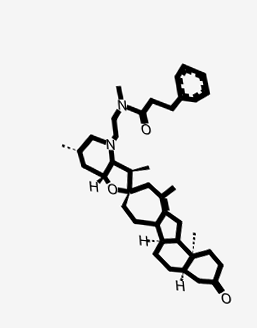 CC1=C2CC3[C@@H](CC[C@@H]4CC(=O)CC[C@]34C)C2CC[C@@]2(C1)O[C@@H]1C[C@H](C)CN(CCN(C)C(=O)CCc3ccccc3)C1[C@H]2C